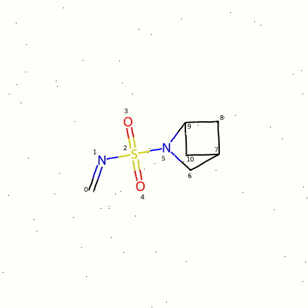 C=NS(=O)(=O)N1CC2CC1C2